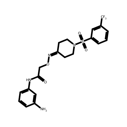 Nc1cccc(NC(=O)CON=C2CCN(S(=O)(=O)c3cccc(C(F)(F)F)c3)CC2)c1